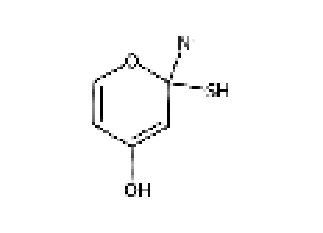 [N]C1(S)C=C(O)C=CO1